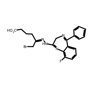 O=C(O)CCCC(CBr)=NNC1=Nc2c(F)cccc2C(c2ccccc2)=NC1